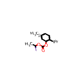 CC(I)OC(=O)OC1C[C@H](C)CCC1C(C)C